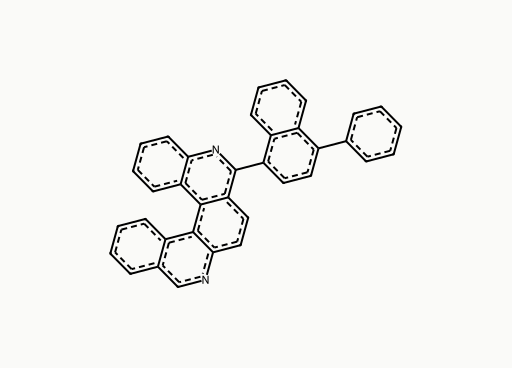 c1ccc(-c2ccc(-c3nc4ccccc4c4c3ccc3ncc5ccccc5c34)c3ccccc23)cc1